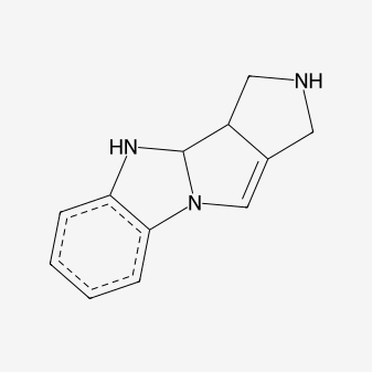 C1=C2CNCC2C2Nc3ccccc3N12